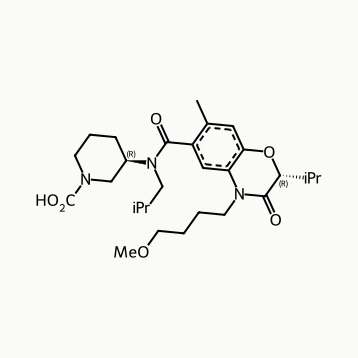 COCCCCN1C(=O)[C@@H](C(C)C)Oc2cc(C)c(C(=O)N(CC(C)C)[C@@H]3CCCN(C(=O)O)C3)cc21